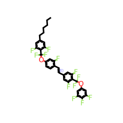 CCCCCCc1cc(F)c(C(F)(F)Oc2ccc(/C=C/c3cc(F)c(C(F)(F)Oc4cc(F)c(F)c(F)c4)c(F)c3)c(F)c2)c(F)c1